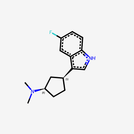 CN(C)[C@@H]1CC[C@H](c2c[nH]c3ccc(F)cc23)C1